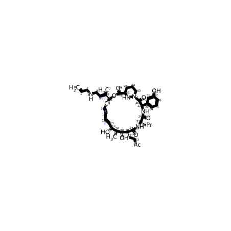 C=CCNC/C=C(\C)[C@@H]1C/C=C/C=C/[C@H](O)[C@H](C)[C@@H](O)[C@@H](CCC(C)=O)C(=O)N[C@@H](C(C)C)C(=O)NC(c2cccc(O)c2)C(=O)N2CCCC(N2)C(=O)O1